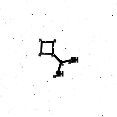 S[C](S)C1CCC1